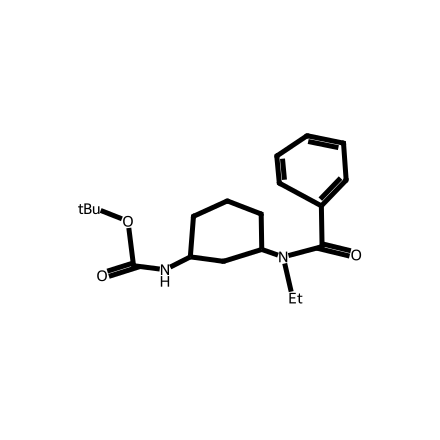 CCN(C(=O)c1ccccc1)C1CCCC(NC(=O)OC(C)(C)C)C1